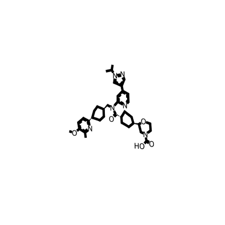 COc1ccc([C@H]2CC[C@H](CN(c3cc(-c4cnn(C(C)C)c4)ccn3)C(=O)[C@H]3CC[C@H](C4CN(C(=O)O)CCO4)CC3)CC2)nc1C